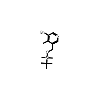 Cc1c(Br)cncc1CO[Si](C)(C)C(C)(C)C